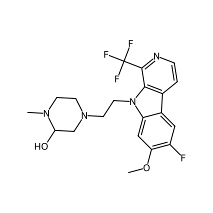 COc1cc2c(cc1F)c1ccnc(C(F)(F)F)c1n2CCN1CCN(C)C(O)C1